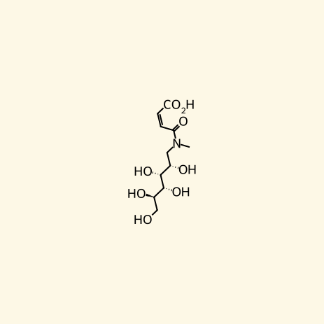 CN(C[C@H](O)[C@@H](O)[C@H](O)[C@H](O)CO)C(=O)/C=C\C(=O)O